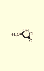 [CH2]C(O)CC(=O)Cl